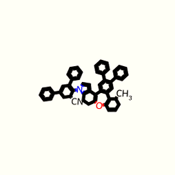 CC1CC=CC2=C1c1cc(-c3ccccc3)c(-c3ccccc3)cc1C1=C(CCc3c1ccn3C1=C(c3ccccc3)C=C(c3ccccc3)CC1C#N)O2